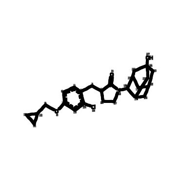 O=C1C(Cc2ccc(OCC3CC3)cc2Cl)CCN1C1C2CC3CC1CC(O)(C3)C2